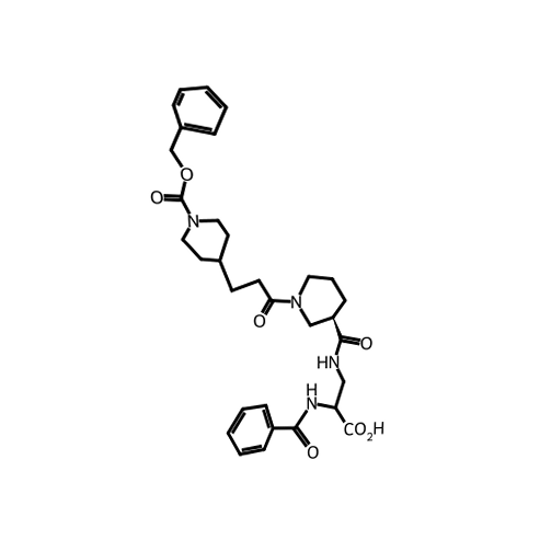 O=C(NC(CNC(=O)[C@@H]1CCCN(C(=O)CCC2CCN(C(=O)OCc3ccccc3)CC2)C1)C(=O)O)c1ccccc1